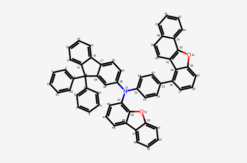 c1ccc(C2(c3ccccc3)c3ccccc3-c3ccc(N(c4ccc(-c5cccc6oc7c8ccccc8ccc7c56)cc4)c4cccc5c4oc4ccccc45)cc32)cc1